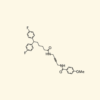 COc1ccc(C(=O)NCC#CCNC(=O)CCCCC(c2ccc(F)cc2)c2ccc(F)cc2)cc1